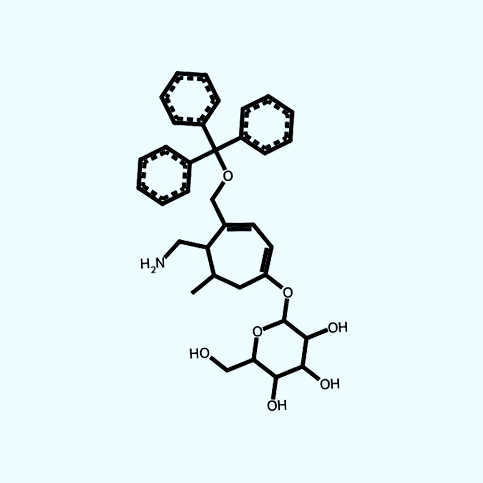 CC1CC(OC2OC(CO)C(O)C(O)C2O)=CC=C(COC(c2ccccc2)(c2ccccc2)c2ccccc2)C1CN